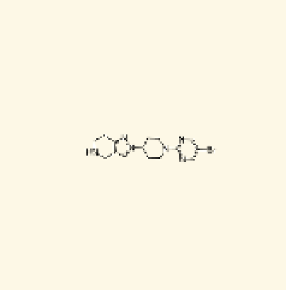 Brc1cnc(N2CCC(n3cc4c(n3)CCNC4)CC2)nc1